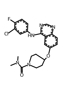 CN(C)C(=O)N1CCC(Oc2ccc3ncnc(Nc4ccc(F)c(Cl)c4)c3c2)CC1